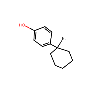 CCC1(c2ccc(O)cc2)CCCCC1